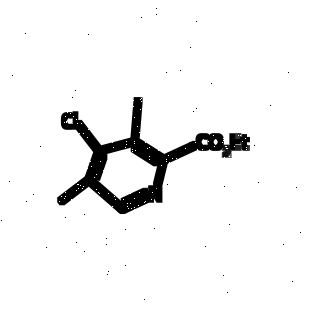 CCOC(=O)c1ncc(C)c(Cl)c1C